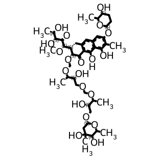 CO[C@H](C(=O)[C@@H](O)[C@@H](C)O)[C@@H]1Cc2cc3cc(O[C@H]4CC[C@H](O)C(C)O4)c(C)c(O)c3c(O)c2C(=O)[C@H]1OCOC(C)[C@@H](O)COCOC(C)[C@@H](O)CO[C@H]1CC(C)(O)[C@H](O)C(C)O1